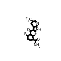 NC(=O)c1ccc(F)c(C(=O)c2c[nH]c3ncc(C(F)(F)F)cc23)c1F